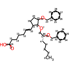 CCCCC[C@H](COC1C(C=CCCCCC(=O)O)CCC1OCc1ccccc1)OCc1ccccc1